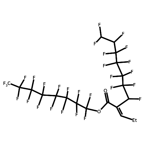 CCC=C(C(=O)OC(F)(F)C(F)(F)C(F)(F)C(F)(F)C(F)(F)C(F)(F)C(F)(F)C(F)(F)F)C(F)C(F)(F)C(F)(F)C(F)(F)C(F)(F)C(F)C(F)F